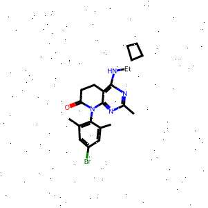 C1CCC1.CCNc1nc(C)nc2c1CCC(=O)N2c1c(C)cc(Br)cc1C